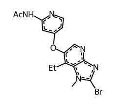 CCc1c(Oc2ccnc(NC(C)=O)c2)cnc2nc(Br)n(C)c12